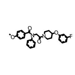 COc1ccc(C(=O)N(CC(=O)N2CCC(Oc3cccc(F)c3)CC2)c2ccccc2)cc1